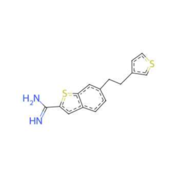 N=C(N)c1cc2ccc(CCc3ccsc3)cc2s1